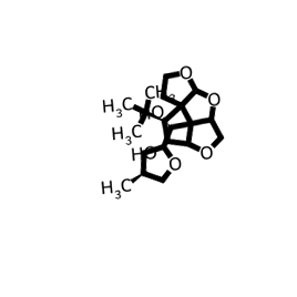 C[C@@H]1COC([C@H](O)C23C4COC2[C@H](O)[C@@H](C(C)(C)C)C32CCOC2O4)C1